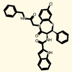 O=C(CN1C(=O)[C@H](NC(=O)c2cc3ccccc3[nH]2)[C@H](c2ccccc2)Sc2cc(Cl)ccc21)NCc1ccccc1